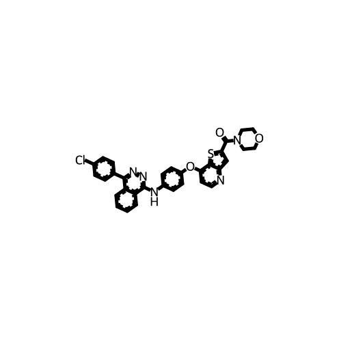 O=C(c1cc2nccc(Oc3ccc(Nc4nnc(-c5ccc(Cl)cc5)c5ccccc45)cc3)c2s1)N1CCOCC1